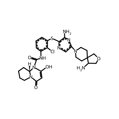 Nc1nc(N2CCC3(CC2)COCC3N)cnc1Sc1cccc(NC(=O)N2C(O)=CC(=O)N3CCCC[C@@H]32)c1Cl